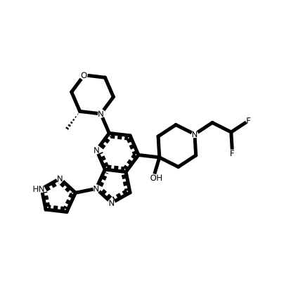 C[C@@H]1COCCN1c1cc(C2(O)CCN(CC(F)F)CC2)c2cnn(-c3cc[nH]n3)c2n1